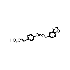 O=C(O)/C=C/c1ccc(OCOCc2ccc3c(c2)OCO3)cc1